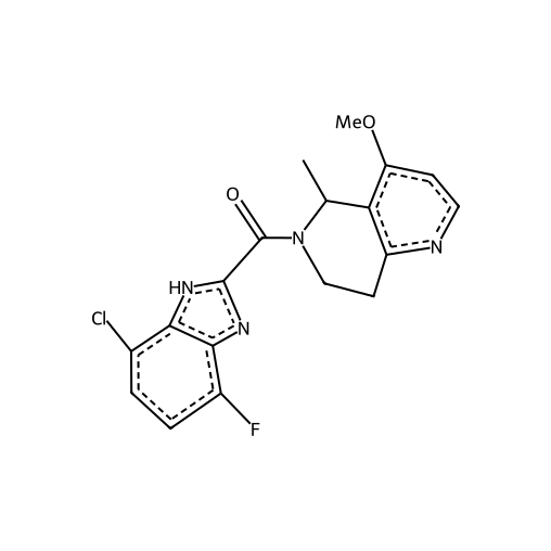 COc1ccnc2c1C(C)N(C(=O)c1nc3c(F)ccc(Cl)c3[nH]1)CC2